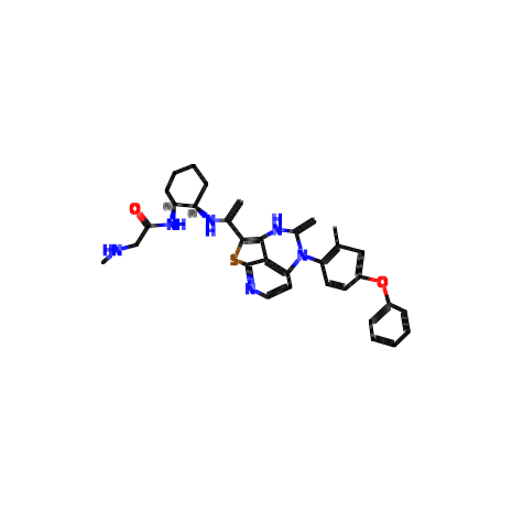 C=C(N[C@@H]1CCCC[C@@H]1NC(=O)CNC)c1sc2nccc3c2c1[nH]c(=C)n3-c1ccc(Oc2ccccc2)cc1C